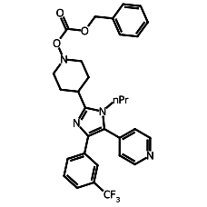 CCCn1c(C2CCN(OC(=O)OCc3ccccc3)CC2)nc(-c2cccc(C(F)(F)F)c2)c1-c1ccncc1